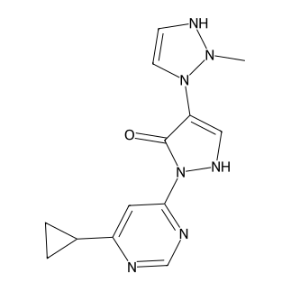 CN1NC=CN1c1c[nH]n(-c2cc(C3CC3)ncn2)c1=O